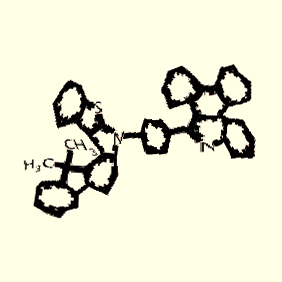 CC1(C)c2ccccc2-c2ccc3c(c21)c1c2ccccc2sc1n3-c1ccc(-c2nc3ccccc3c3c4ccccc4c4ccccc4c23)cc1